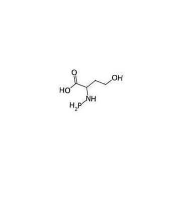 O=C(O)C(CCO)NP